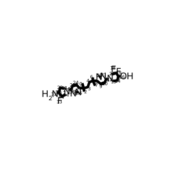 CC(C)(CCC(C)(C)c1ccc(N2CCC(O)C(F)(F)C2)nn1)c1ccc(N2CC[C@@H](N)[C@H](F)C2)nn1